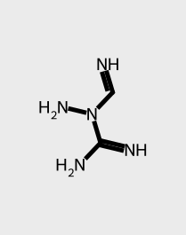 N=CN(N)C(=N)N